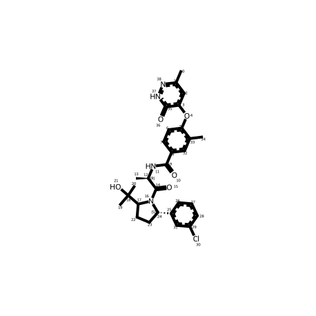 Cc1cc(Oc2ccc(C(=O)N[C@H](C)C(=O)N3C(C(C)(C)O)CC[C@H]3c3cccc(Cl)c3)cc2C)c(=O)[nH]n1